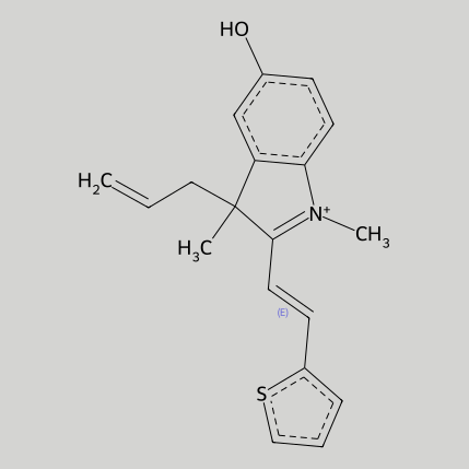 C=CCC1(C)C(/C=C/c2cccs2)=[N+](C)c2ccc(O)cc21